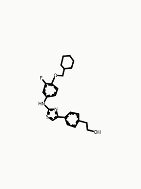 OCCc1ccc(-c2csc(Nc3ccc(OCC4CCCCC4)c(F)c3)n2)cc1